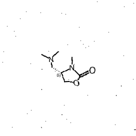 CN(C)C[C@H]1COC(=O)N1C